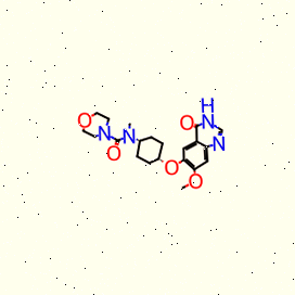 COc1cc2nc[nH]c(=O)c2cc1O[C@H]1CC[C@@H](N(C)C(=O)N2CCOCC2)CC1